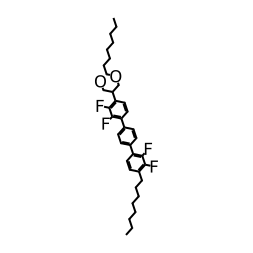 CCCCCCCCc1ccc(-c2ccc(-c3ccc(C4COC(CCCCCCC)OC4)c(F)c3F)cc2)c(F)c1F